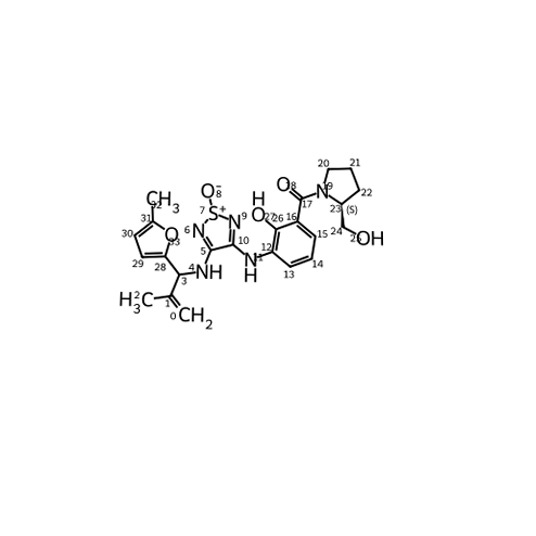 C=C(C)C(Nc1n[s+]([O-])nc1Nc1cccc(C(=O)N2CCC[C@H]2CO)c1O)c1ccc(C)o1